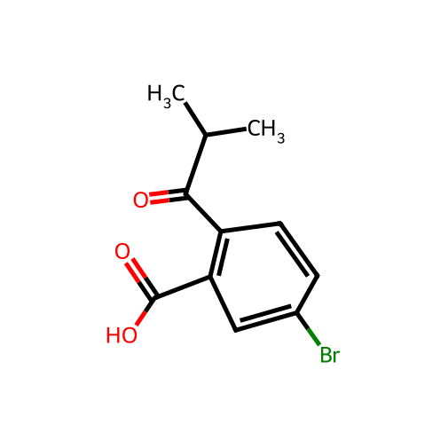 CC(C)C(=O)c1ccc(Br)cc1C(=O)O